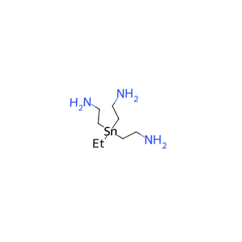 C[CH2][Sn]([CH2]CN)([CH2]CN)[CH2]CN